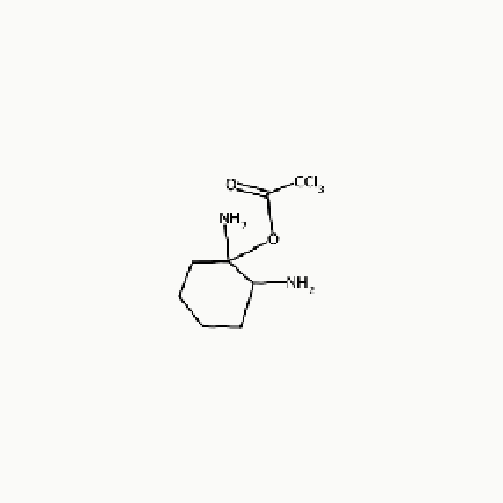 NC1CCCCC1(N)OC(=O)C(Cl)(Cl)Cl